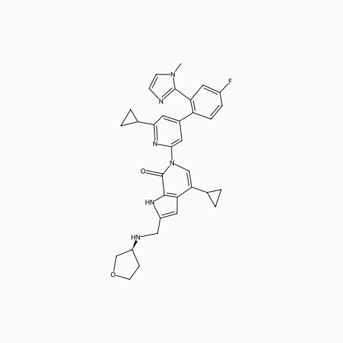 Cn1ccnc1-c1cc(F)ccc1-c1cc(C2CC2)nc(-n2cc(C3CC3)c3cc(CN[C@H]4CCOC4)[nH]c3c2=O)c1